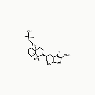 COc1ccc(C#N)c(CC(=O)N2CC[C@H]3[C@H](CCC(C)(C)O)CCC[C@@H]3[C@@H]2C)c1Cl